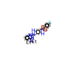 CCN(CC)c1nc(NC[C@H]2CC[C@H](CNS(=O)(=O)c3ccc(F)cc3)CC2)nc2ccccc12